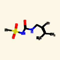 CC(C)=C(CNC(=O)NS(=O)(=O)C(C)C)C(C)C